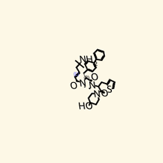 CN(C(=O)[C@@H](Cc1ccc(-c2ccccc2)cc1)N(C)C(=O)/C=C/CC(C)(C)N)C(Cc1cccs1)C(=O)N1CCC(O)CC1